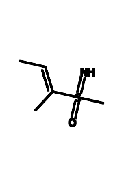 C/C=C(\C)S(C)(=N)=O